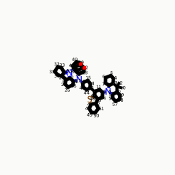 CC1(C)c2ccccc2N(c2cc(-c3ccc(N(c4ccccc4)c4cccc5c6ccccc6n(-c6ccccc6)c45)cc3)c3sc4ccccc4c3c2)c2ccccc21